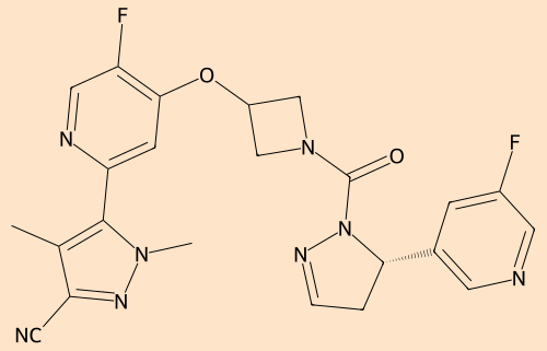 Cc1c(C#N)nn(C)c1-c1cc(OC2CN(C(=O)N3N=CC[C@H]3c3cncc(F)c3)C2)c(F)cn1